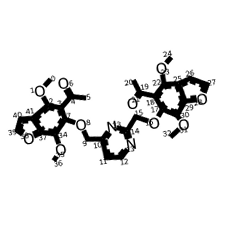 COc1c(C(C)=O)c(OCc2ccnc(COc3c(C(C)=O)c(OC)c4ccoc4c3OC)n2)c(OC)c2occc12